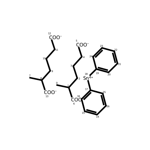 CC(CCCC(=O)[O-])C(=O)[O-].CC(CCCC(=O)[O-])C(=O)[O-].c1cc[c]([Sn+4][c]2ccccc2)cc1